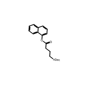 CCCCCCCCCCCCCC(=O)Oc1cccc2ccccc12